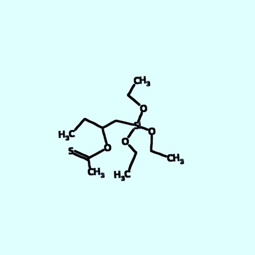 CCO[Si](CC(CC)OC(C)=S)(OCC)OCC